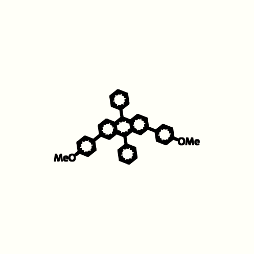 COc1ccc(-c2ccc3c(-c4ccccc4)c4ccc(-c5ccc(OC)cc5)cc4c(-c4ccccc4)c3c2)cc1